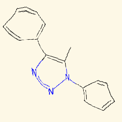 Cc1c(-c2ccccc2)nnn1-c1ccccc1